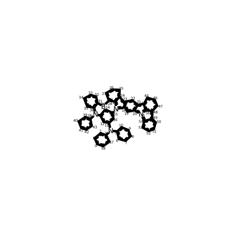 c1ccc(N(c2ccccc2)c2cc3c4c(c2)-n2c5cc6c(cc5c5cccc(c52)B4c2ccccc2N3c2ccccc2)c2cccc3c4ccccc4n6c32)cc1